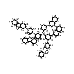 c1cc(-c2ccc3ccccc3c2)cc(N(c2cc(-c3ccc4c(c3)Oc3ccccc3O4)cc(-c3ccc4ccccc4c3)c2)c2cccc(-c3ccc(-c4ccc5c(c4)oc4ccccc45)cc3-n3c4ccccc4c4ccccc43)c2)c1